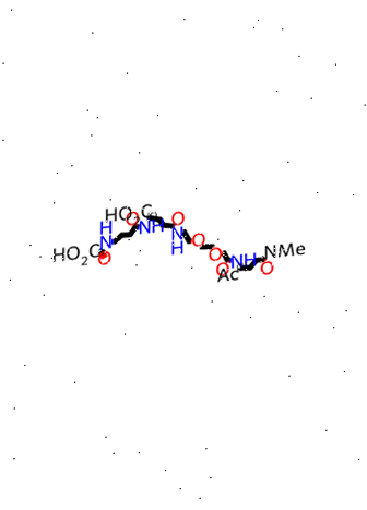 CNC(=O)CC[C@H](NC(=O)COCCOCCNC(=O)CC[C@H](NC(=O)CCCNC(=O)C(=O)O)C(=O)O)C(C)=O